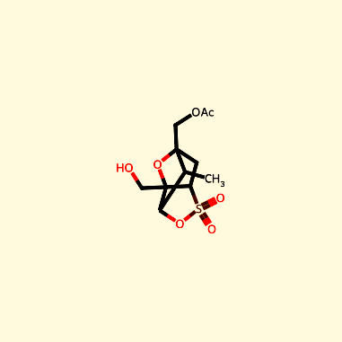 CC(=O)OCC12CC3C(CO)(O1)C(OS3(=O)=O)C2C